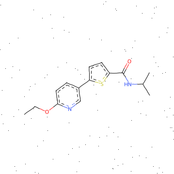 CCOc1ccc(-c2ccc(C(=O)NC(C)C)s2)cn1